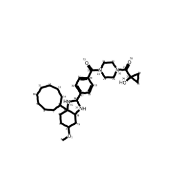 COC1CCC2(C3CCCCCCCC3)NC(c3ccc(C(=O)N4CCN(C(=O)C5(O)CC5)CC4)cc3)NC2C1